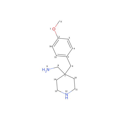 COc1ccc(CC2(CN)CCNCC2)cc1